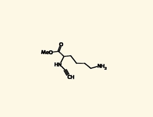 C#CNC(CCCCN)C(=O)OC